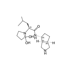 CC(C)C[C@@H](C(=O)N[C@@H]1CC[C@H]2CNC[C@H]21)N1CCCS1(O)O